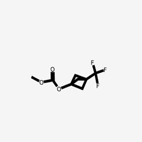 COC(=O)OC12CC(C(F)(F)F)(C1)C2